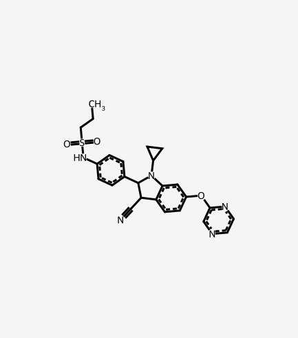 CCCS(=O)(=O)Nc1ccc(C2C(C#N)c3ccc(Oc4cnccn4)cc3N2C2CC2)cc1